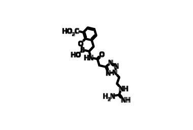 N=C(N)NCCn1nnc(CC(=O)NC2Cc3cccc(C(=O)O)c3OB2O)n1